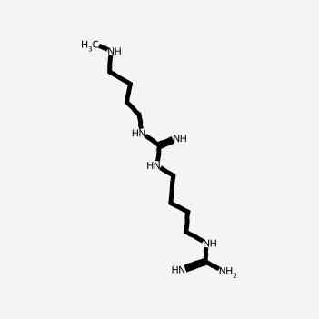 CNCCCCNC(=N)NCCCCNC(=N)N